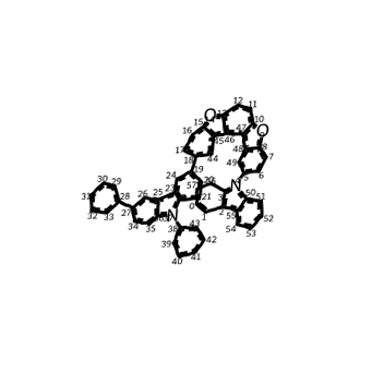 C1=Cc2c(n(-c3ccc4oc5ccc6oc7ccc(-c8ccc9c(c8)c8cc(-c%10ccccc%10)ccc8n9-c8ccccc8)cc7c6c5c4c3)c3ccccc23)CC1